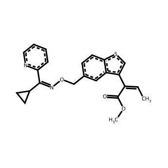 CC=C(C(=O)OC)c1csc2ccc(CON=C(c3ccccn3)C3CC3)cc12